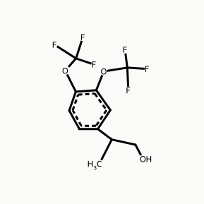 C[C](CO)c1ccc(OC(F)(F)F)c(OC(F)(F)F)c1